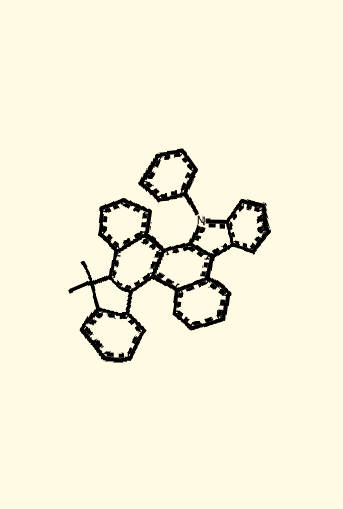 CC1(C)c2ccccc2-c2c1c1ccccc1c1c2c2ccccc2c2c3ccccc3n(-c3ccccc3)c21